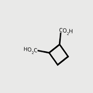 O=C(O)C1CCC1C(=O)O